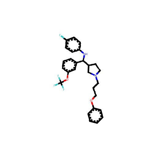 Fc1ccc(NC(c2cccc(OC(F)(F)F)c2)C2CCN(CCCOc3ccccc3)C2)cc1